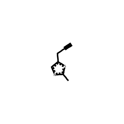 C#CCc1cnc(C)s1